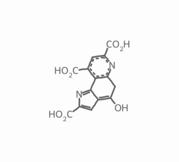 O=C(O)C1=CC2=C(O)Cc3nc(C(=O)O)cc(C(=O)O)c3C2=N1